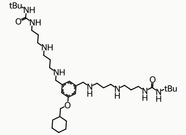 CC(C)(C)NC(=O)NCCCNCCCNCc1cc(CNCCCNCCCNC(=O)NC(C)(C)C)cc(OCC2CCCCC2)c1